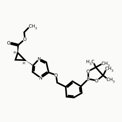 CCOC(=O)[C@@H]1C[C@H]1c1cnc(OCc2cccc(B3OC(C)(C)C(C)(C)O3)c2)cn1